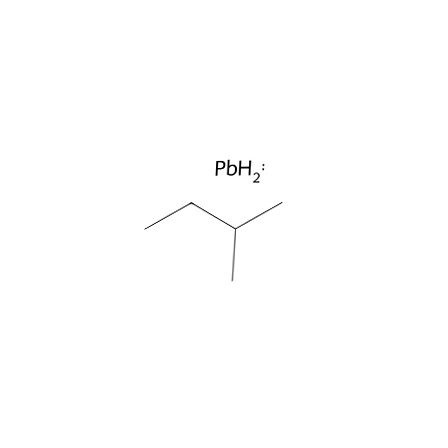 CCC(C)C.[PbH2]